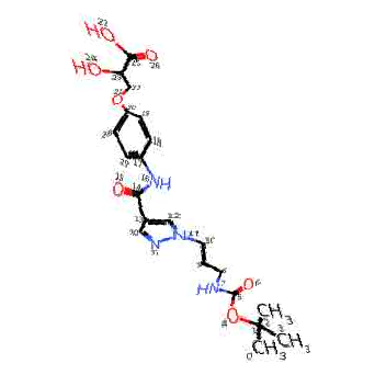 CC(C)(C)OC(=O)NCCCn1cc(C(=O)Nc2ccc(OCC(O)C(=O)O)cc2)cn1